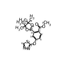 COC(=O)c1ccc(Oc2nncs2)cc1B1OC(C)(C)C(C)(C)O1